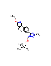 Cc1cc(OCC(C)(C)C)ncc1-c1ccc(-c2nc(C(F)(F)F)nn2COCC[Si](C)(C)C)cc1